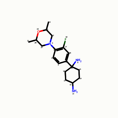 CC1CN(c2ccc(C3(N)CCC(N)CC3)cc2F)CC(C)O1